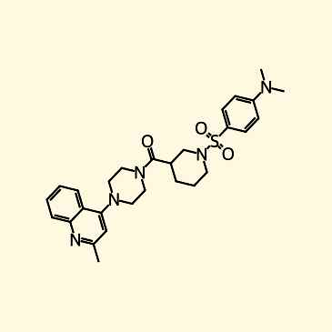 Cc1cc(N2CCN(C(=O)C3CCCN(S(=O)(=O)c4ccc(N(C)C)cc4)C3)CC2)c2ccccc2n1